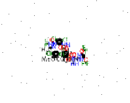 COc1c(Cl)ccc(Cl)c1C(=O)O.Cc1nn(-c2cc(NS(C)(=O)=O)c(Cl)cc2Cl)c(=O)n1C(F)F.O=C(Nc1nc(OC(F)F)cc(OC(F)F)n1)NS(=O)(=O)c1ccccc1C(=O)O